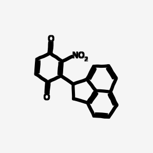 O=C1C=CC(=O)C([N+](=O)[O-])=C1C1Cc2cccc3cccc1c23